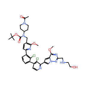 COc1nc(-c2cccc(-c3ccnc(-c4cc5c(OC)nc(CNCCO)nn5c4)c3Cl)c2Cl)ccc1CN(C(=O)OC(C)(C)C)C1CCN(C(C)=O)CC1